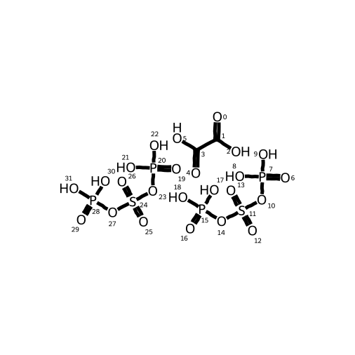 O=C(O)C(=O)O.O=P(O)(O)OS(=O)(=O)OP(=O)(O)O.O=P(O)(O)OS(=O)(=O)OP(=O)(O)O